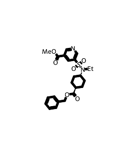 CCN([C@H]1CC[C@H](C(=O)OCc2ccccc2)CC1)S(=O)(=O)c1cncc(C(=O)OC)c1